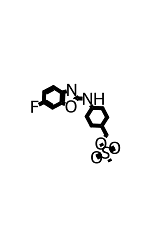 CS(=O)(=O)OCC1CCC(Nc2nc3ccc(F)cc3o2)CC1